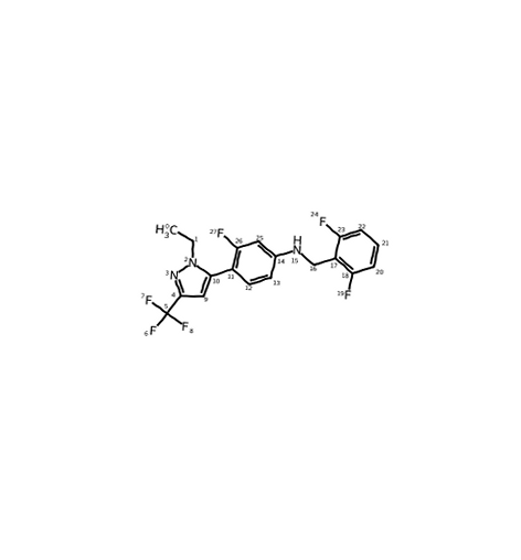 CCn1nc(C(F)(F)F)cc1-c1ccc(NCc2c(F)cccc2F)cc1F